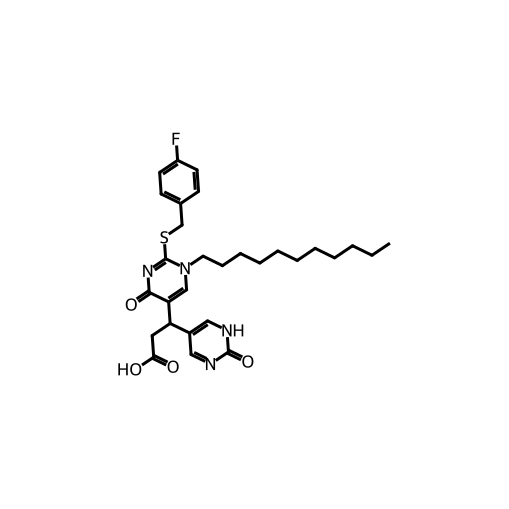 CCCCCCCCCCCn1cc(C(CC(=O)O)c2cnc(=O)[nH]c2)c(=O)nc1SCc1ccc(F)cc1